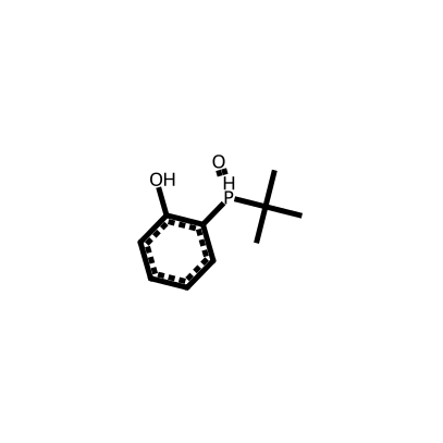 CC(C)(C)[PH](=O)c1ccccc1O